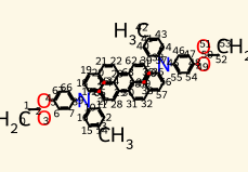 C=CC(=O)Oc1ccc(N(c2ccc(C)cc2)c2ccc(/C=C\c3c4ccccc4c(/C=C\c4ccc(N(c5ccc(C)cc5)c5ccc(OC(=O)C=C)cc5)cc4)c4ccccc34)cc2)cc1